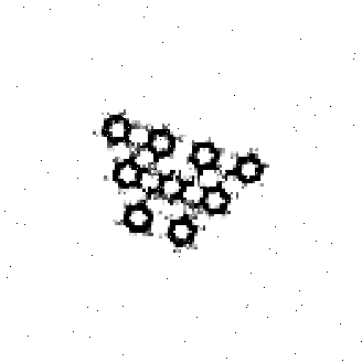 c1ccc(N2c3ccccc3B3c4nc5c(nc4N(c4ccccc4)c4cccc2c43)N(c2ccccc2)c2cccc3c2B5c2ccccc2N3c2ccccc2)cc1